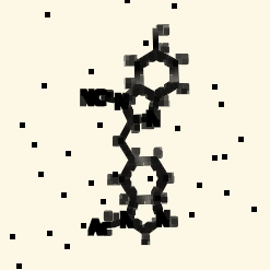 CC(=O)n1cnc2ccc(Cc3nc4ccc(C)cc4n3C#N)cc21